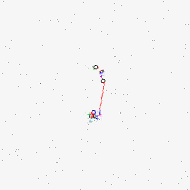 CC(C)(C)C[C@@H]1NC(C(=O)NCCOCCOCCOCCOCCOc2ccc(C(=O)N[C@H]3C(C)(C)[C@H](Oc4ccc(C#N)c(Cl)c4)C3(C)C)cc2)[C@@H](c2cccc(Cl)c2F)[C@@]1(C#N)c1ccc(Cl)cc1F